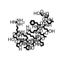 CCCCCC(NC(=O)C(CO)NC(=O)C(NC(=O)C(CCCCN)NC(=O)C(NC(=O)C(NC(=O)C(N)CCCNC(=N)N)C(C)O)C1CCCN1)C(C)CC)C(=O)NC(C(=O)NC(C(=O)NC(CCCCN)C(=O)NC(Cc1ccccc1)C(=O)NC(CCC(=O)O)C(=O)NC(CC(C)C)C(=O)NC(CO)C(=O)NCC(=O)O)C(C)CC)C1CCCN1